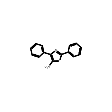 O=[N+]([O-])c1sc(-c2ccccc2)nc1-c1ccccc1